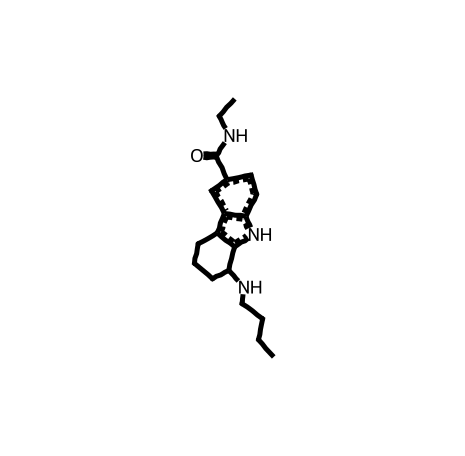 CCCCNC1CCCc2c1[nH]c1ccc(C(=O)NCC)cc21